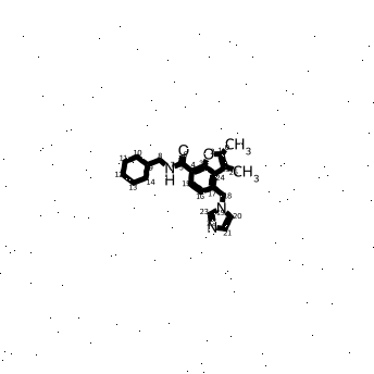 Cc1oc2c(C(=O)NCC3CCCCC3)ccc(Cn3ccnc3)c2c1C